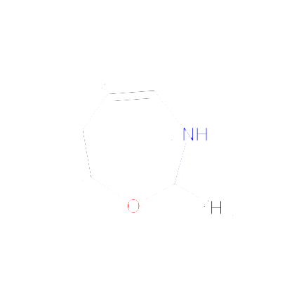 [2H]C1NC=CCCO1